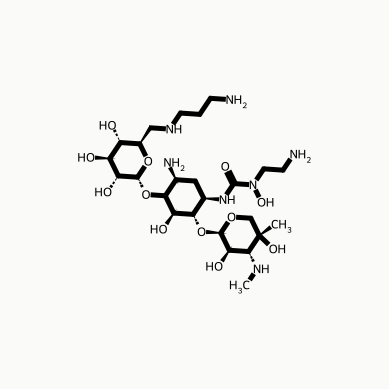 CN[C@@H]1[C@@H](O)[C@@H](O[C@H]2[C@H](NC(=O)N(O)CCN)C[C@H](N)C(O[C@H]3O[C@H](CNCCCN)[C@@H](O)[C@H](O)[C@H]3O)[C@@H]2O)OC[C@]1(C)O